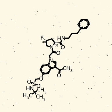 CC(=O)c1cn(CC(=O)N2C[C@H](F)C[C@H]2C(=O)NCCCc2ccccc2)c2ccc(OCS(=O)(=O)NC(C)(C)C)cc12